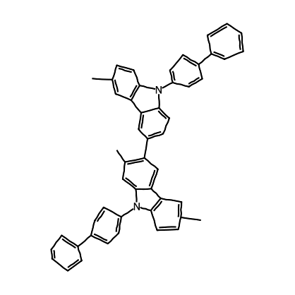 Cc1ccc2c(c1)c1cc(-c3cc4c5cc(C)ccc5n(-c5ccc(-c6ccccc6)cc5)c4cc3C)ccc1n2-c1ccc(-c2ccccc2)cc1